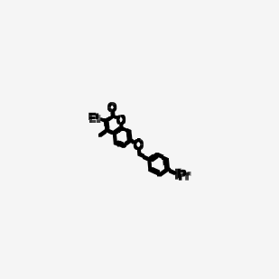 CCc1c(C)c2ccc(OCc3ccc(C(C)C)cc3)cc2oc1=O